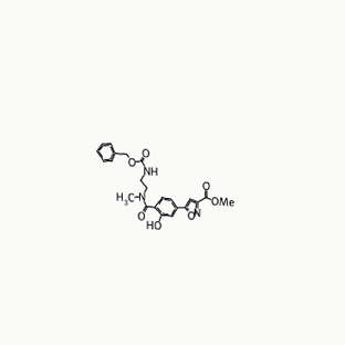 COC(=O)c1cc(-c2ccc(C(=O)N(C)CCNC(=O)OCc3ccccc3)c(O)c2)on1